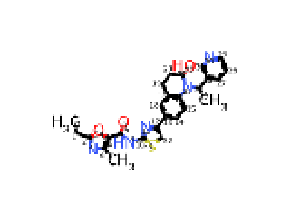 CCc1nc(C)c(C(=O)Nc2nc(-c3ccc4c(c3)CCC(O)N4C(C)c3cccnc3)cs2)o1